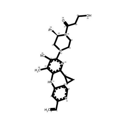 C=Cc1cc(Nc2c(C3CC3)nc(N3CCN(C(=O)CCO)[C@H](C(C)C)C3)c(C#N)c2C)ccn1